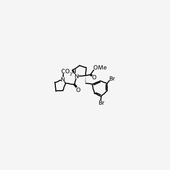 COC(=O)[C@]1(Cc2cc(Br)cc(Br)c2)CCCN1C(=O)C1CCCN1C(=O)O